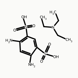 CCN(CC)CC.Nc1cc(N)c(S(=O)(=O)O)cc1S(=O)(=O)O